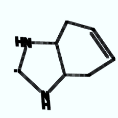 [CH]1NC2CC=CCC2N1